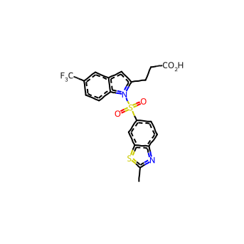 Cc1nc2ccc(S(=O)(=O)n3c(CCC(=O)O)cc4cc(C(F)(F)F)ccc43)cc2s1